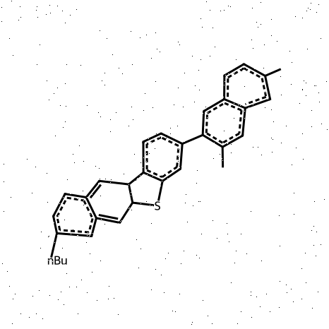 CCCCc1ccc2c(c1)=CC1Sc3cc(-c4cc5ccc(C)cc5cc4C)ccc3C1C=2